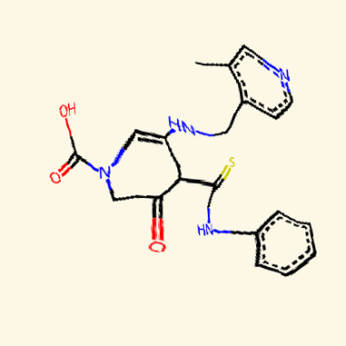 Cc1cnccc1CNC1=CN(C(=O)O)CC(=O)C1C(=S)Nc1ccccc1